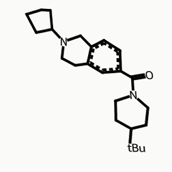 CC(C)(C)C1CCN(C(=O)c2ccc3c(c2)CCN(C2CCCC2)C3)CC1